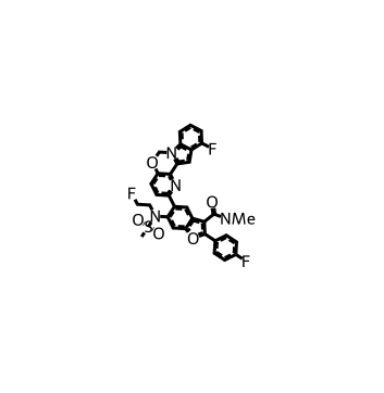 CNC(=O)c1c(-c2ccc(F)cc2)oc2cc(N(CCF)S(C)(=O)=O)c(-c3ccc4c(n3)-c3cc5c(F)cccc5n3CO4)cc12